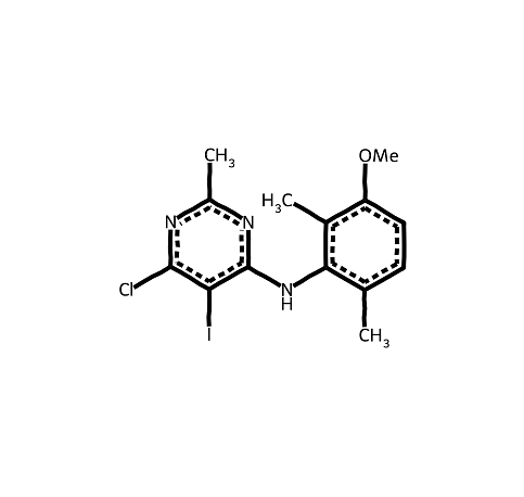 COc1ccc(C)c(Nc2nc(C)nc(Cl)c2I)c1C